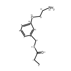 CCC(=O)SCc1cccc(OCCN)c1